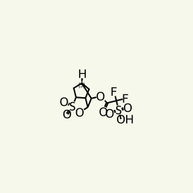 O=C(OC1C2OS(=O)(=O)C3C[C@@H]1CC23)C(F)(F)S(=O)(=O)O